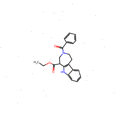 CCOC(=O)C1CN(C(=O)c2ccccc2)CCc2c1[nH]c1ccccc21